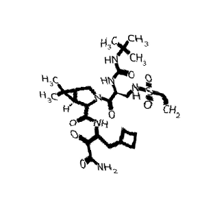 C=CS(=O)(=O)NC[C@H](NC(=O)NC(C)(C)C)C(=O)N1CC2[C@@H](C1C(=O)NC(CC1CCC1)C(=O)C(N)=O)C2(C)C